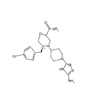 NC(=O)C1CN(C2CCN(c3nnc(N)[nH]3)CC2)[C@@H](Cc2ccc(Cl)cc2)CO1